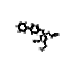 CCCC[N+](CCO)(CCO)Cc1ccc(-c2ccccc2)cc1